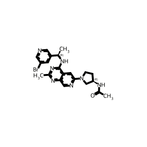 CC(=O)N[C@@H]1CCN(c2cc3c(N[C@H](C)c4cncc(Br)c4)nc(C)nc3cn2)C1